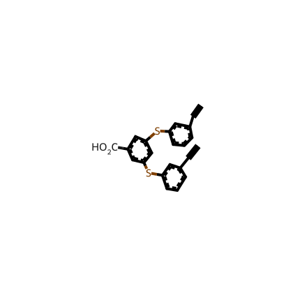 C#Cc1cccc(Sc2cc(Sc3cccc(C#C)c3)cc(C(=O)O)c2)c1